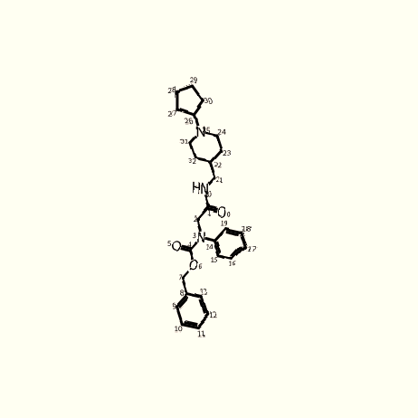 O=C(CN(C(=O)OCc1ccccc1)c1ccccc1)NCC1CCN(C2CCCC2)CC1